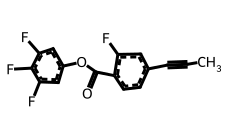 CC#Cc1ccc(C(=O)Oc2cc(F)c(F)c(F)c2)c(F)c1